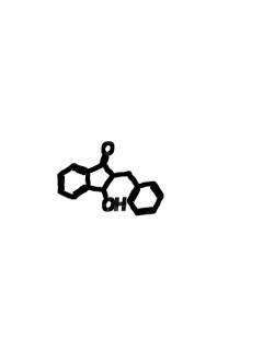 O=C1c2ccccc2C(O)C1Cc1ccccc1